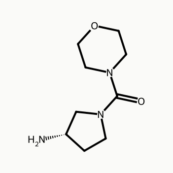 N[C@H]1CCN(C(=O)N2CCOCC2)C1